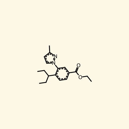 CCOC(=O)c1ccc(C(CC)CC)c(-n2ccc(C)n2)c1